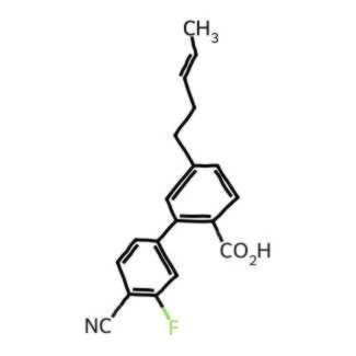 CC=CCCc1ccc(C(=O)O)c(-c2ccc(C#N)c(F)c2)c1